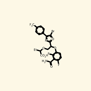 CCC(OCC(Oc1ccc(F)c(C(N)=O)c1F)c1nc(-c2ccc(C(F)(F)F)cc2)c(Br)o1)C(=O)O